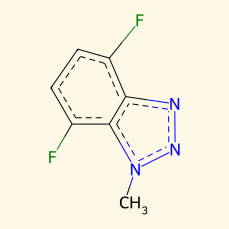 Cn1nnc2c(F)ccc(F)c21